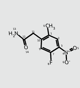 Cc1cc([N+](=O)[O-])c(F)cc1CC(N)=O